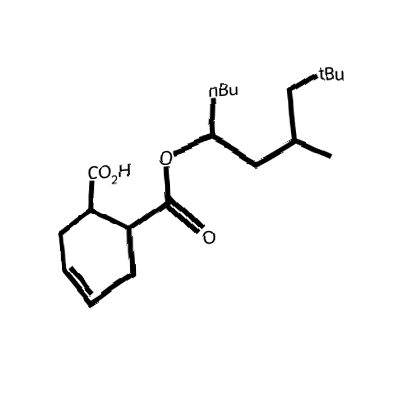 CCCCC(CC(C)CC(C)(C)C)OC(=O)C1CC=CCC1C(=O)O